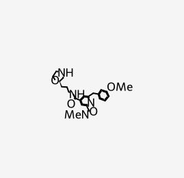 CNC(=O)c1cc(C(=O)NCCC[C@@H]2CNCCO2)cc(Cc2cccc(OC)c2)n1